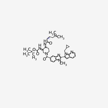 CN(C)C/C=C\C(=O)N[C@H]1CCN(C(=O)c2ccc3c(c2)nc(-c2cc4cccnc4n2CC2CC2)n3C)C[C@H]1NC(=O)OC(C)(C)C